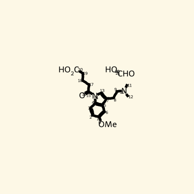 COc1ccc2c(c1)c(CCN(C)C)cn2C(=O)CCCC(=O)O.O=CO